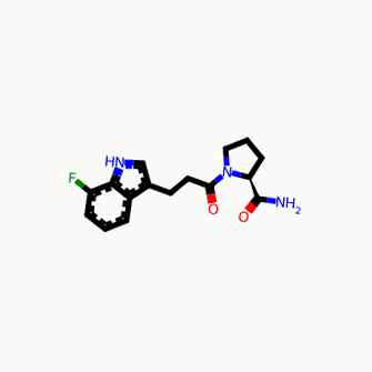 NC(=O)[C@@H]1CCCN1C(=O)CCc1c[nH]c2c(F)cccc12